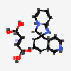 C1=CC2=NC3(CC=Cc4cnccc43)CN2C=C1.O=C(O)/C=C/C(=O)O